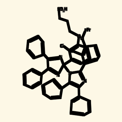 CCCOc1cccc(-c2nc(-c3ccccc3)c(-c3ccccc3)n2C2(c3cccc(OCCCS(=O)(=O)O)c3Cl)N=C(c3ccccc3)C(c3ccccc3)=N2)c1Cl